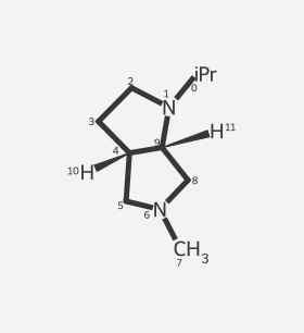 CC(C)N1CC[C@H]2CN(C)C[C@H]21